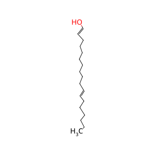 CCCCCCC=CCCCCCCCC/C=C/O